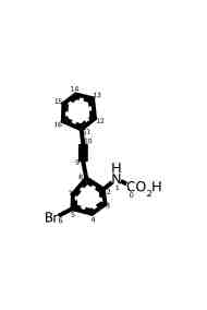 O=C(O)Nc1ccc(Br)cc1C#Cc1ccccc1